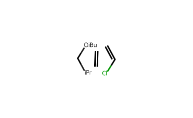 C=C.C=CCl.CC(C)COCC(C)C